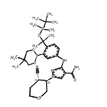 CC1(C)COB(c2cc(Nc3nn([C@H]4COCC[C@@H]4C#N)cc3C(N)=O)ccc2C(C)(C)O[Si](C)(C)C(C)(C)C)OC1